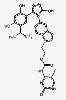 CC(C)c1cc(-c2nnc(O)n2-c2ccc3c(ccn3CCOC(=O)Nc3nc(=O)[nH]cc3F)c2)c(O)cc1O